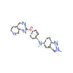 CN(c1ccc(Oc2ncc3ccncc3n2)cc1)c1ccc2nn(C)cc2c1